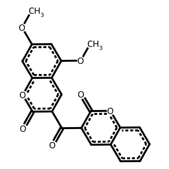 COc1cc(OC)c2cc(C(=O)c3cc4ccccc4oc3=O)c(=O)oc2c1